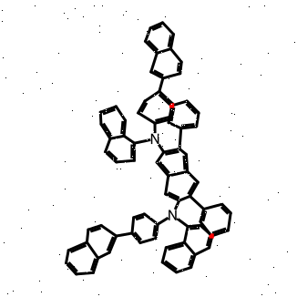 c1ccc(-c2cc3cc(-c4ccccc4)c(N(c4ccc(-c5ccc6ccccc6c5)cc4)c4cccc5ccccc45)cc3cc2N(c2ccc(-c3ccc4ccccc4c3)cc2)c2cccc3ccccc23)cc1